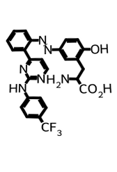 NC(Cc1cc(/N=N/c2ccccc2-c2ccnc(Nc3ccc(C(F)(F)F)cc3)n2)ccc1O)C(=O)O